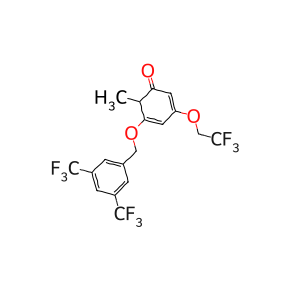 CC1C(=O)C=C(OCC(F)(F)F)C=C1OCc1cc(C(F)(F)F)cc(C(F)(F)F)c1